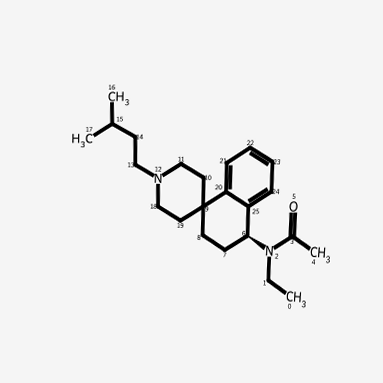 CCN(C(C)=O)[C@H]1CCC2(CCN(CCC(C)C)CC2)c2ccccc21